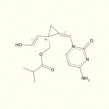 CC(C)C(=O)OC[C@]1(/C=C/O)C/C1=C/n1ccc(N)nc1=O